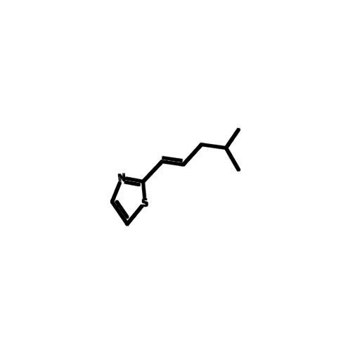 CC(C)C/C=C/c1nccs1